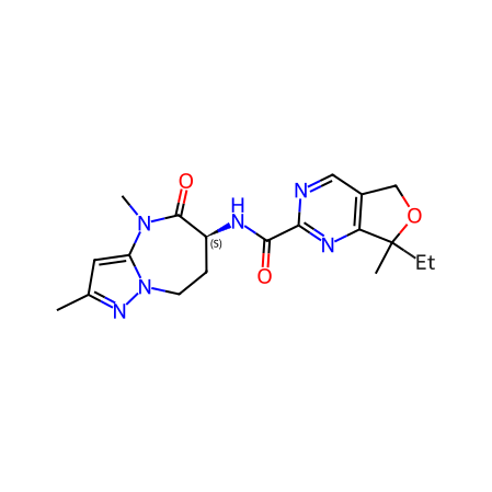 CCC1(C)OCc2cnc(C(=O)N[C@H]3CCn4nc(C)cc4N(C)C3=O)nc21